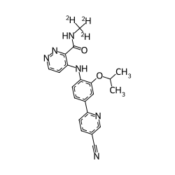 [2H]C([2H])([2H])NC(=O)c1nnccc1Nc1ccc(-c2ccc(C#N)cn2)cc1OC(C)C